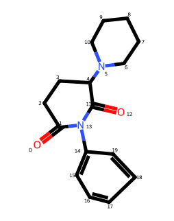 O=C1CCC(N2CCCCC2)C(=O)N1c1ccccc1